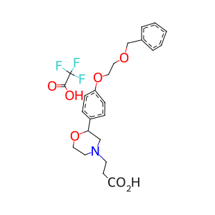 O=C(O)C(F)(F)F.O=C(O)CCN1CCOC(c2ccc(OCCOCc3ccccc3)cc2)C1